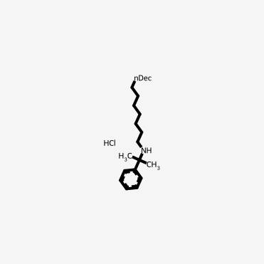 CCCCCCCCCCCCCCCCCNC(C)(C)c1ccccc1.Cl